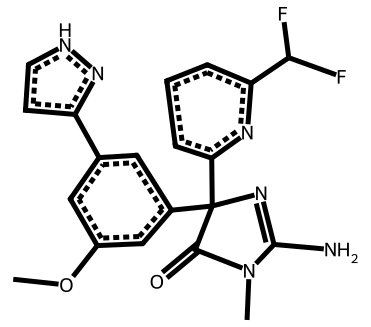 COc1cc(-c2cc[nH]n2)cc(C2(c3cccc(C(F)F)n3)N=C(N)N(C)C2=O)c1